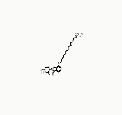 O=C(O)CCCCCCCCCCCCCSc1cccc2c1CN(C1CCC(=O)NC1=O)C2=O